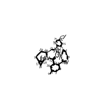 Cc1ccc(-c2ncccn2)c(C(=O)N2C3C[C@H]3CC[C@H]2CNc2ccc(Cl)cn2)c1